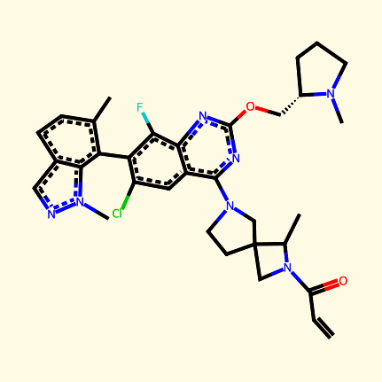 C=CC(=O)N1CC2(CCN(c3nc(OC[C@@H]4CCCN4C)nc4c(F)c(-c5c(C)ccc6cnn(C)c56)c(Cl)cc34)C2)C1C